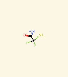 NC(=O)C(F)(F)F.S